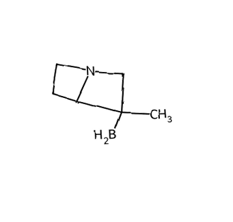 BC1(C)CN2CCC21